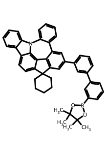 CC1(C)OB(c2cccc(-c3cccc(-c4cc5c6c(c4)C4(CCCCC4)c4ccc7c8ccccc8n(c7c4-6)-c4ccccc4-5)c3)c2)OC1(C)C